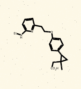 CCNc1cccc(CCOc2ccc(C3CC3(C)CC(=O)O)cc2)n1